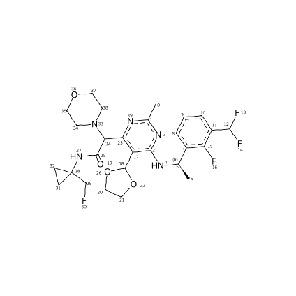 Cc1nc(N[C@H](C)c2cccc(C(F)F)c2F)c(C2OCCO2)c(C(C(=O)NC2(CF)CC2)N2CCOCC2)n1